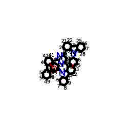 c1ccc(-n2c3ccccc3c3cccc(-c4cc(-c5cccc6c7ccccc7n(-c7ccccc7)c56)nc(-c5cccc6c5oc5ccccc56)n4)c32)cc1